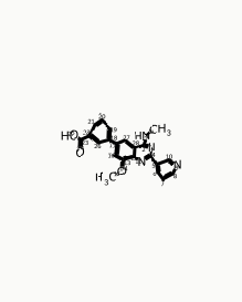 CNc1nc(-c2cccnc2)nc2c(OC)cc(-c3cccc(C(=O)O)c3)cc12